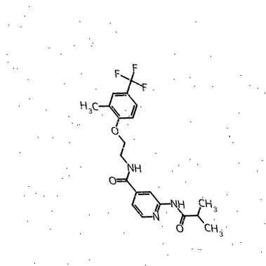 Cc1cc(C(F)(F)F)ccc1OCCNC(=O)c1ccnc(NC(=O)C(C)C)c1